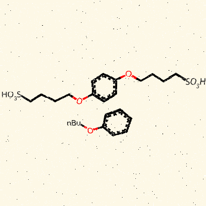 CCCCOc1ccccc1.O=S(=O)(O)CCCCOc1ccc(OCCCCS(=O)(=O)O)cc1